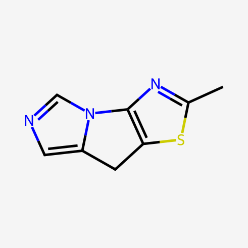 Cc1nc2c(s1)Cc1cncn1-2